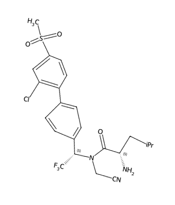 CC(C)C[C@H](N)C(=O)N(CC#N)[C@@H](c1ccc(-c2ccc(S(C)(=O)=O)cc2Cl)cc1)C(F)(F)F